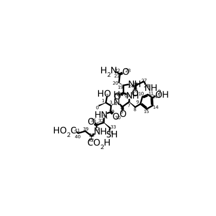 C[C@@H](O)[C@H](NC(=O)[C@H](Cc1ccc(O)cc1)NC(=O)[C@H](CC(N)=O)NC(=O)CN)C(=O)N[C@@H](CS)C(=O)N[C@@H](CCC(=O)O)C(=O)O